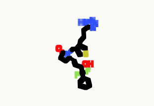 O=C1CC[C@H](C=CC(O)C(F)(F)c2ccccc2)N1Cc1cscc1CCCc1nnn[nH]1